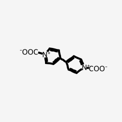 O=C([O-])[n+]1ccc(-c2cc[n+](C(=O)[O-])cc2)cc1